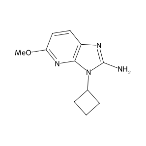 COc1ccc2nc(N)n(C3CCC3)c2n1